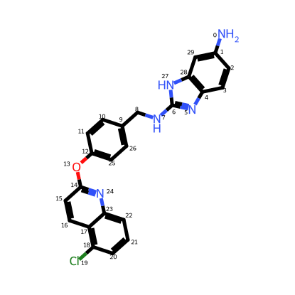 Nc1ccc2nc(NCc3ccc(Oc4ccc5c(Cl)cccc5n4)cc3)[nH]c2c1